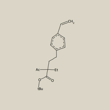 C=Cc1ccc(CCC(CC)(C(C)=O)C(=O)OC(C)(C)C)cc1